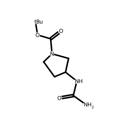 CC(C)(C)OC(=O)N1CCC(NC(N)=O)C1